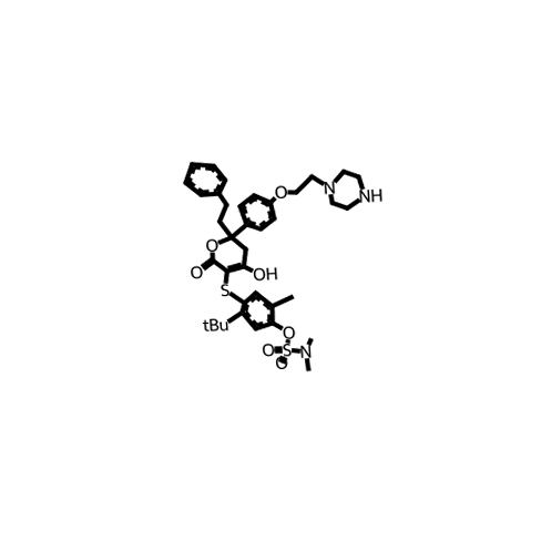 Cc1cc(SC2=C(O)CC(CCc3ccccc3)(c3ccc(OCCN4CCNCC4)cc3)OC2=O)c(C(C)(C)C)cc1OS(=O)(=O)N(C)C